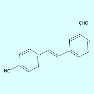 N#Cc1ccc(/C=C/c2cccc(C=O)c2)cc1